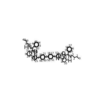 CCCCN[C@@H](C(=O)N1CCC[C@H]1c1nc(-c2ccc(-c3ccc(-c4cnc([C@@H]5CCCN5C(=O)[C@H](NCCCC)c5ccccc5)[nH]4)cc3)cc2)c[nH]1)c1ccccc1